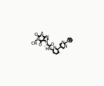 C[C@@H](C(=O)Nc1cccc(-c2cnc(N3CC4C5C4C53)nc2)n1)n1cnc2c1c(=O)n(CC#N)c(=O)n2C